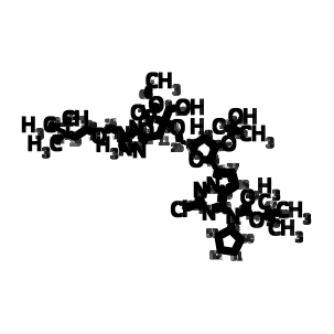 CCOP(=O)(OCC)C(CO)(Cc1nnn(COCC[Si](C)(C)C)n1)OC[C@@H]1C[C@@H](OC(C)(C)O)[C@@H](c2ccc3c(N(C(=O)OC(C)(C)C)C4CCCC4)nc(Cl)nn23)O1